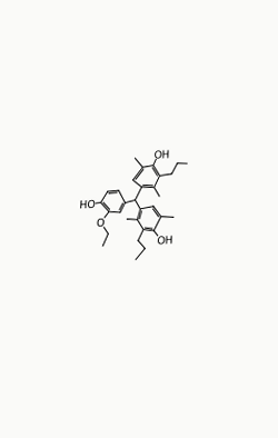 CCCc1c(C)c(C(c2ccc(O)c(OCC)c2)c2cc(C)c(O)c(CCC)c2C)cc(C)c1O